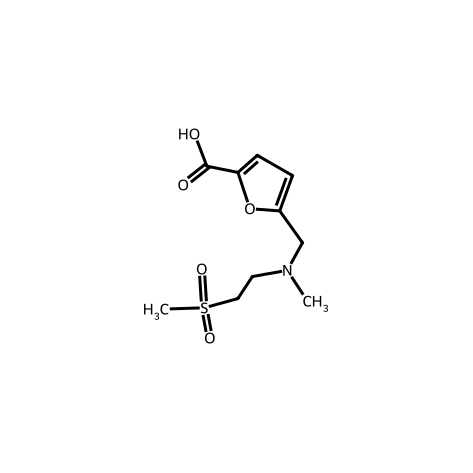 CN(CCS(C)(=O)=O)Cc1ccc(C(=O)O)o1